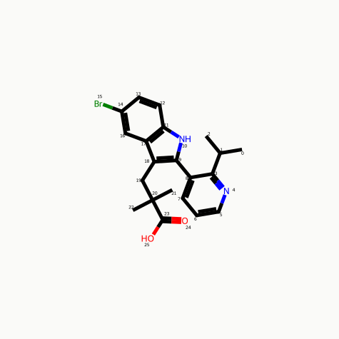 CC(C)c1ncccc1-c1[nH]c2ccc(Br)cc2c1CC(C)(C)C(=O)O